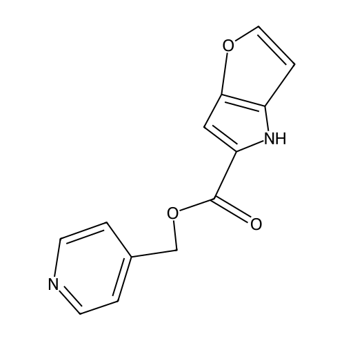 O=C(OCc1ccncc1)c1cc2occc2[nH]1